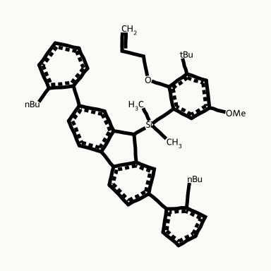 C=CCOc1c(C(C)(C)C)cc(OC)cc1[Si](C)(C)C1c2cc(-c3ccccc3CCCC)ccc2-c2ccc(-c3ccccc3CCCC)cc21